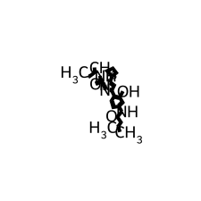 CCC(C)NC(=O)n1nc(-c2ccc(NC(=O)CC(C)C)cc2O)cc1C1CCC1